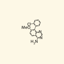 COc1ccc2c(N)ncnc2c1-c1ccccc1Cl